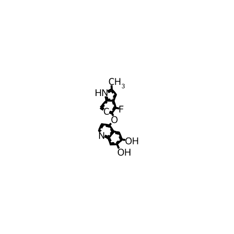 Cc1cc2c(F)c(Oc3ccnc4cc(O)c(O)cc34)ccc2[nH]1